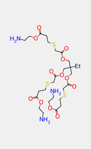 CCC(COC(=O)CSCCC(=O)OCCN)(COC(=O)CSCCC(=O)OCCN)COC(=O)CSCCC(=O)OCCN